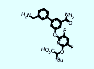 CC(C)(C)C(Oc1nc(Oc2cc(C(N)=O)cc(-c3cccc(CN)c3)c2)c(F)cc1F)C(=O)O